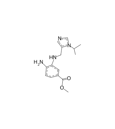 COC(=O)c1ccc(N)c(NCc2cncn2C(C)C)c1